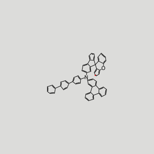 c1ccc(-c2ccc(-c3ccc(N(c4ccc5c(c4)C4(c6ccccc6Oc6ccccc64)c4ccccc4-5)c4ccc5c6ccccc6c6ccccc6c5c4)cc3)cc2)cc1